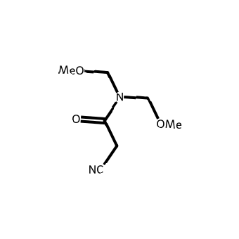 COCN(COC)C(=O)CC#N